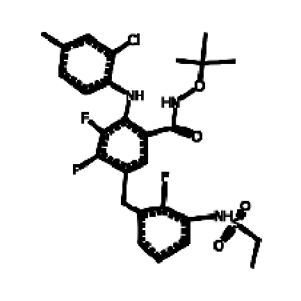 CCS(=O)(=O)Nc1cccc(Cc2cc(C(=O)NOC(C)(C)C)c(Nc3ccc(C)cc3Cl)c(F)c2F)c1F